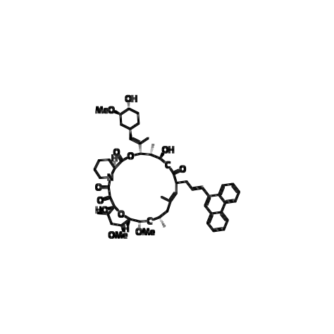 CO[C@H]1C[C@@H](C)C/C(C)=C/C(C/C=C/c2cc3ccccc3c3ccccc23)C(=O)C[C@H](O)[C@@H](C)[C@@H](/C(C)=C/[C@@H]2CC[C@@H](O)[C@H](OC)C2)OC(=O)[C@@H]2CCCCN2C(=O)C(=O)[C@]2(O)O[C@H]1[C@@H](OC)C[C@H]2C